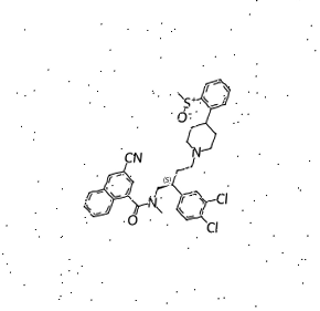 CN(C[C@@H](CCN1CCC(c2ccccc2[S+](C)[O-])CC1)c1ccc(Cl)c(Cl)c1)C(=O)c1cc(C#N)cc2ccccc12